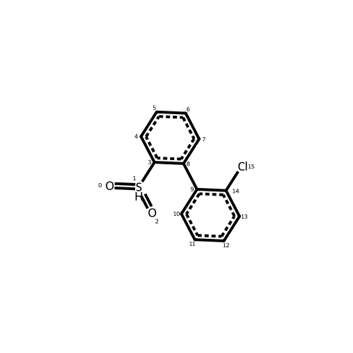 O=[SH](=O)c1ccccc1-c1ccccc1Cl